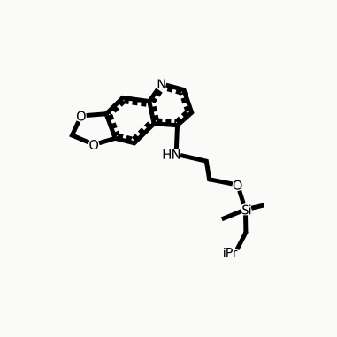 CC(C)C[Si](C)(C)OCCNc1ccnc2cc3c(cc12)OCO3